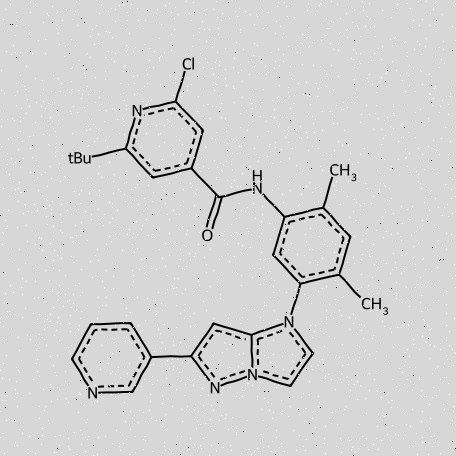 Cc1cc(C)c(-n2ccn3nc(-c4cccnc4)cc23)cc1NC(=O)c1cc(Cl)nc(C(C)(C)C)c1